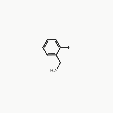 N[CH]c1ccccc1F